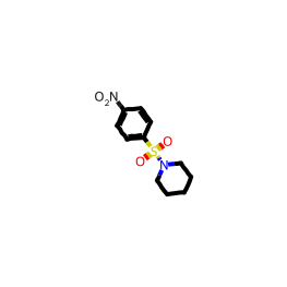 O=[N+]([O-])c1ccc(S(=O)(=O)N2CCCCC2)cc1